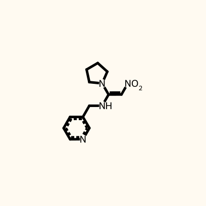 O=[N+]([O-])C=C(NCc1cccnc1)N1CCCC1